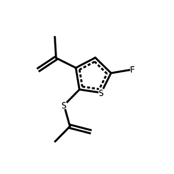 C=C(C)Sc1sc(F)cc1C(=C)C